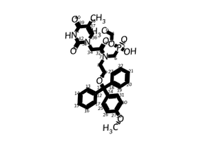 CCOP(=O)(O)CN(CCOC(c1ccccc1)(c1ccccc1)c1ccc(OC)cc1)C(=O)Cn1cc(C)c(=O)[nH]c1=O